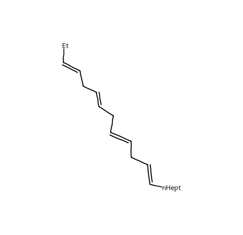 [CH2]CCCCCCC=CCC=CCC=CCC=CCC